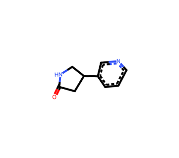 O=C1CC(c2cccnc2)CN1